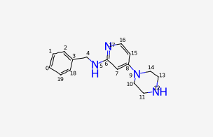 c1ccc(CNc2cc(N3CCNCC3)ccn2)cc1